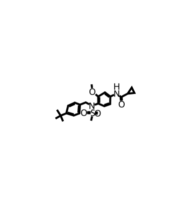 COc1cc(NC(=O)C2CC2)ccc1N(Cc1ccc(C(C)(C)C)cc1)S(C)(=O)=O